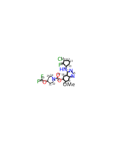 COc1cc2ncnc(Nc3cccc(Cl)c3F)c2cc1OC(=O)N1CCC(OC(F)F)CC1